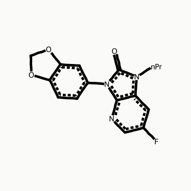 CCCn1c(=O)n(-c2ccc3c(c2)OCO3)c2ncc(F)cc21